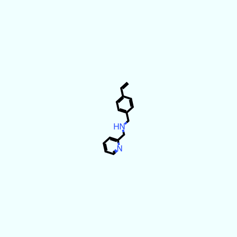 C=Cc1ccc(CNCc2ccccn2)cc1